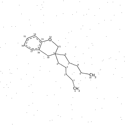 CCCCCC1(CCCCC)COc2ccccc2C1